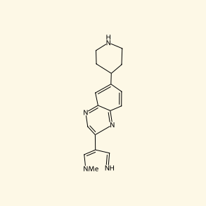 CN/C=C(\C=N)c1cnc2cc(C3CCNCC3)ccc2n1